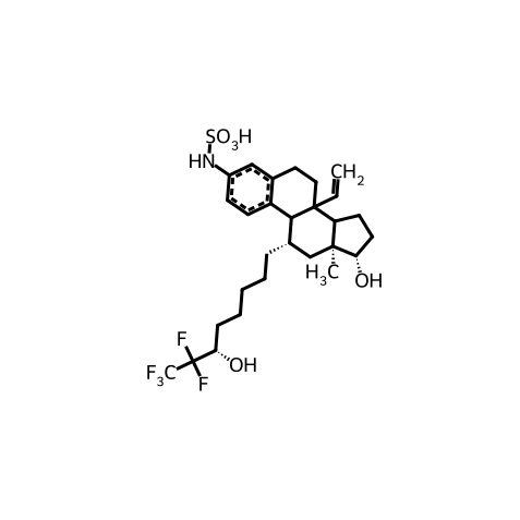 C=CC12CCc3cc(NS(=O)(=O)O)ccc3C1[C@@H](CCCCC[C@H](O)C(F)(F)C(F)(F)F)C[C@@]1(C)C2CC[C@@H]1O